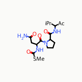 CSC(=O)NC(CC(N)=O)C(=O)N1CCCC1C(=O)NC(C(C)=O)C(C)C